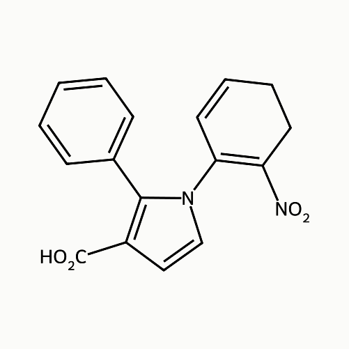 O=C(O)c1ccn(C2=C([N+](=O)[O-])CCC=C2)c1-c1ccccc1